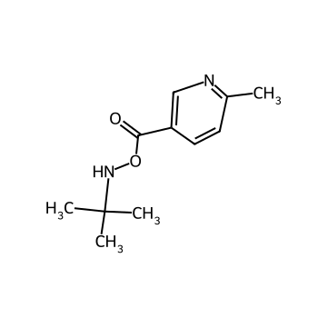 Cc1ccc(C(=O)ONC(C)(C)C)cn1